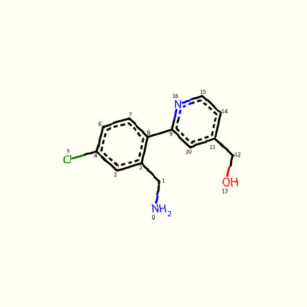 NCc1cc(Cl)ccc1-c1cc(CO)ccn1